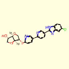 O[C@H]1CO[C@H]2[C@@H]1OC[C@H]2Oc1ccc(-c2ccc(-c3nc4cc(Cl)ccc4[nH]3)cn2)cn1